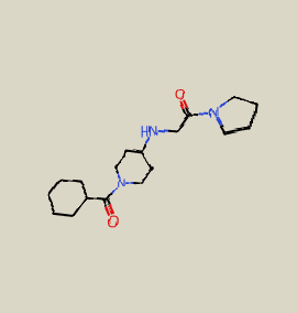 O=C(CNC1CCN(C(=O)C2CCCCC2)CC1)N1CCCC1